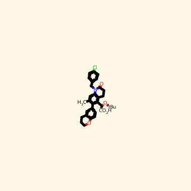 Cc1cc2c(c(C(OC(C)(C)C)C(=O)O)c1-c1ccc3c(c1)CCCO3)CCC(=O)N2Cc1ccc(Cl)cc1